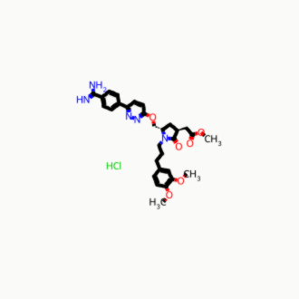 COC(=O)C[C@@H]1C[C@@H](COc2ccc(-c3ccc(C(=N)N)cc3)nn2)N(CCCc2ccc(OC)c(OC)c2)C1=O.Cl